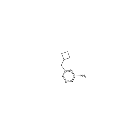 Nc1cncc(CC2CCC2)n1